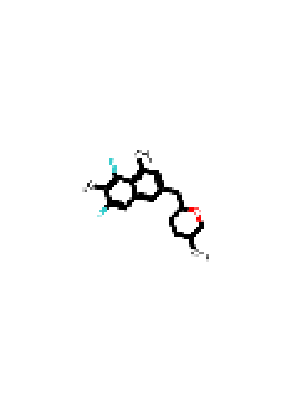 Cc1c(F)cc2cc(CC3CCC(C)CO3)cc(C)c2c1F